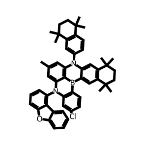 Cc1cc2c3c(c1)N(c1cccc4oc5ccccc5c14)c1cc(Cl)ccc1B3c1cc3c(cc1N2c1ccc2c(c1)C(C)(C)CCC2(C)C)C(C)(C)CCC3(C)C